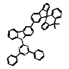 CC1(C)c2ccccc2C2(c3ccccc3-c3ccc(-c4ccc5c(c4)c4ccccc4n5-c4nc(-c5ccccc5)nc(-c5ccccc5)n4)cc32)c2ccccc21